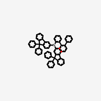 c1ccc(-c2ccccc2-c2ccccc2N(c2ccc3c(c2)-c2ccccc2C3(c2ccccc2)c2ccccc2)c2ccc3c(c2)C(c2ccccc2)(c2ccccc2)c2ccccc2-3)cc1